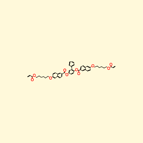 C=CC(=O)OCCCCCCOc1ccc2cc(C(=O)Oc3ccc(OC(=O)c4ccc5cc(OCCCCCCOC(=O)C=C)ccc5c4)c(-c4ccccc4)c3)ccc2c1